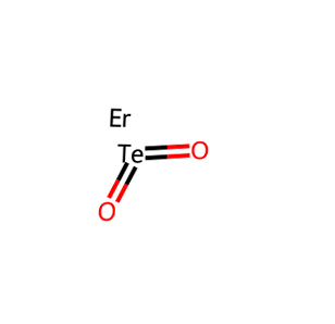 O=[Te]=O.[Er]